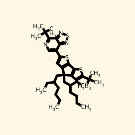 CCCCC(CC)CC1(CC(CC)CCCC)c2cc(-c3cnc(C(C)(C)C)c4nsnc34)sc2-c2sc(C(C)(C)C)cc21